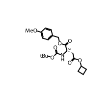 COc1ccc(COC(=O)[C@H](CC(=O)OC2CCC2)NC(=O)OC(C)(C)C)cc1